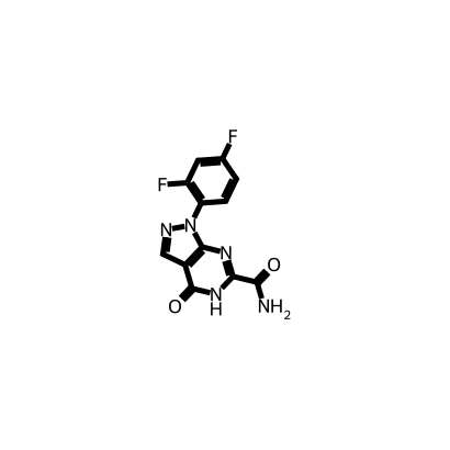 NC(=O)c1nc2c(cnn2-c2ccc(F)cc2F)c(=O)[nH]1